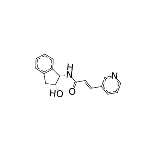 O=C(C=Cc1cccnc1)N[C@H]1c2ccccc2C[C@H]1O